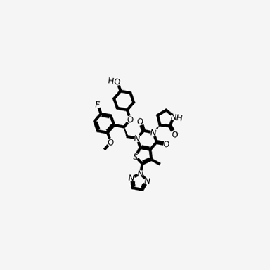 COc1ccc(F)cc1[C@H](Cn1c(=O)n([C@@H]2CCNC2=O)c(=O)c2c(C)c(-n3nccn3)sc21)OC1CCC(O)CC1